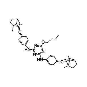 CCCCOc1nc(NC2=CCC(=C=C3CC4CCC3(C)C4(C)C)C=C2)nc(NC2=CCC(=C=C3CC4CCC3(C)C4(C)C)C=C2)n1